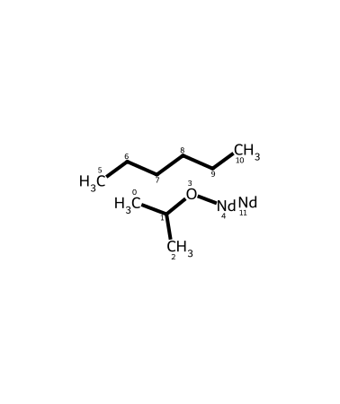 CC(C)[O][Nd].CCCCCC.[Nd]